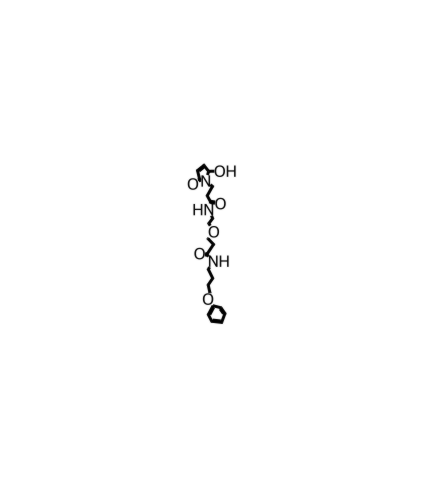 O=C(CCOCCNC(=O)CCN1C(=O)C=CC1O)NCCCCOc1ccccc1